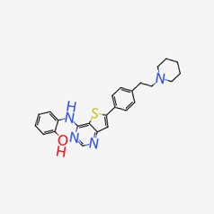 Oc1ccccc1Nc1ncnc2cc(-c3ccc(CCN4CCCCC4)cc3)sc12